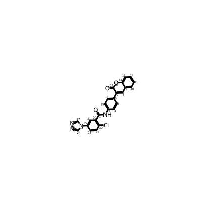 O=C(Nc1ccc(-c2cc3ccccc3oc2=O)cc1)c1cc(-n2cnnc2)ccc1Cl